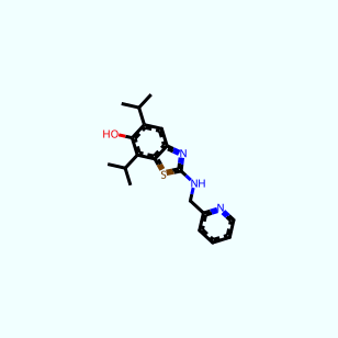 CC(C)c1cc2nc(NCc3ccccn3)sc2c(C(C)C)c1O